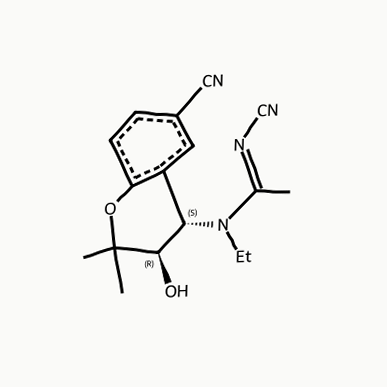 CCN(C(C)=NC#N)[C@H]1c2cc(C#N)ccc2OC(C)(C)[C@@H]1O